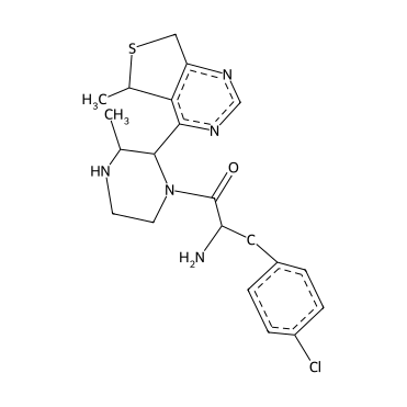 CC1SCc2ncnc(C3C(C)NCCN3C(=O)C(N)Cc3ccc(Cl)cc3)c21